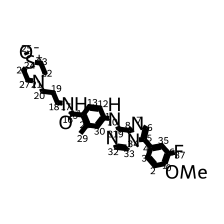 COc1ccc(-c2cnc3c(Nc4ccc(C(=O)NCCCN5CC[S+]([O-])CC5)c(C)c4)nccn23)cc1F